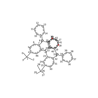 CC(C)(C)c1ccc(P(c2ccccc2)c2ccccc2)c(Sc2cc(C(C)(C)C)ccc2P(c2ccccc2)c2ccccc2)c1